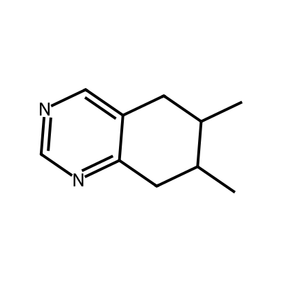 CC1Cc2cncnc2CC1C